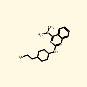 CN(C)c1nc(NC2CCC(CCN)CC2)nc2ccccc12